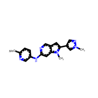 COc1ccc(Nc2cc3c(cn2)cc(-c2cnn(C)c2)n3C)cn1